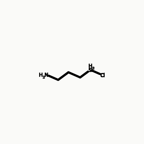 NCCC[SiH2]Cl